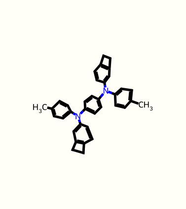 Cc1ccc(N(c2ccc(N(c3ccc(C)cc3)c3ccc4c(c3)CC4)cc2)c2ccc3c(c2)CC3)cc1